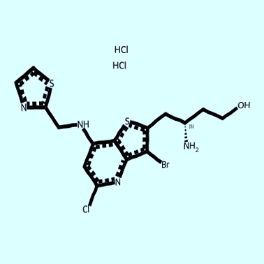 Cl.Cl.N[C@@H](CCO)Cc1sc2c(NCc3nccs3)cc(Cl)nc2c1Br